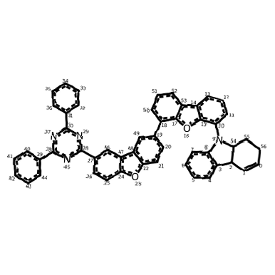 C1=CC2c3ccccc3N(c3cccc4c3oc3c(-c5ccc6oc7ccc(-c8nc(-c9ccccc9)nc(-c9ccccc9)n8)cc7c6c5)cccc34)C2CC1